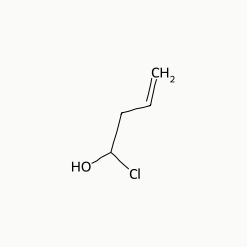 C=CCC(O)Cl